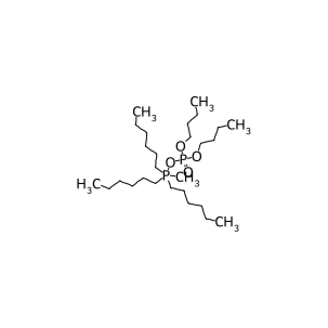 CCCCCCP(C)(CCCCCC)(CCCCCC)OP(=O)(OCCCC)OCCCC